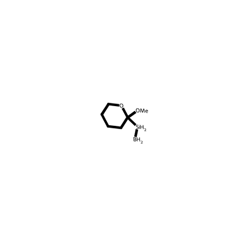 B[SiH2]C1(OC)CCCCO1